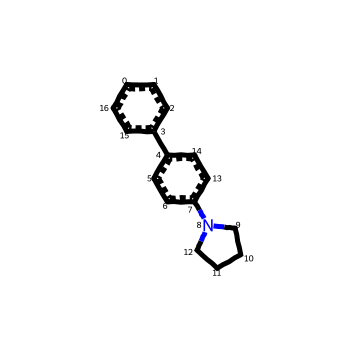 c1ccc(-c2ccc(N3CCCC3)cc2)cc1